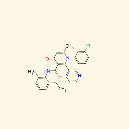 CCc1cccc(C)c1NC(=O)c1c(-c2cccnc2)n(-c2cccc(Cl)c2)c(C)cc1=O